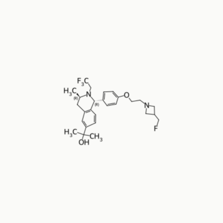 C[C@@H]1Cc2cc(C(C)(C)O)ccc2[C@@H](c2ccc(OCCN3CC(CF)C3)cc2)N1CC(F)(F)F